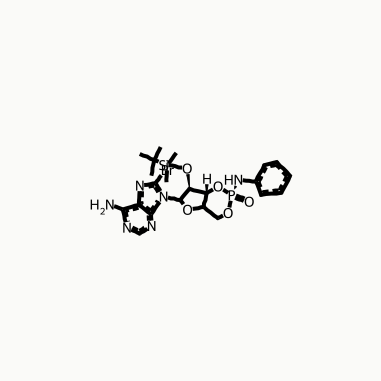 CC(C)(C)[Si](C)(C)O[C@@H]1C(n2c(Br)nc3c(N)ncnc32)OC2CO[P@@](=O)(Nc3ccccc3)O[C@H]21